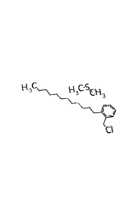 CCCCCCCCCCCCc1ccccc1CCl.CSC